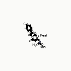 CCCCCn1c(/N=C(\C)OCCC)cc(=O)n2cc(-c3ccc(Cl)cc3)nc12